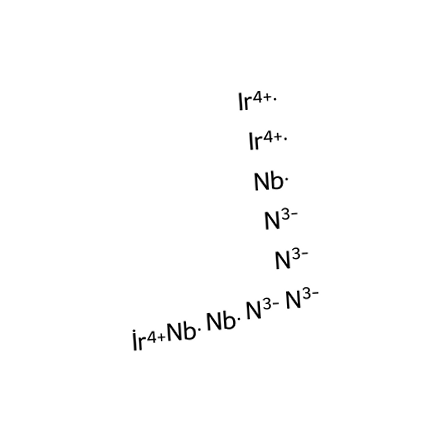 [Ir+4].[Ir+4].[Ir+4].[N-3].[N-3].[N-3].[N-3].[Nb].[Nb].[Nb]